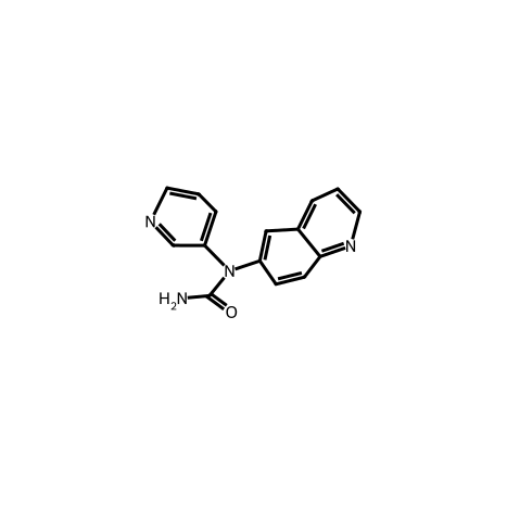 NC(=O)N(c1cccnc1)c1ccc2ncccc2c1